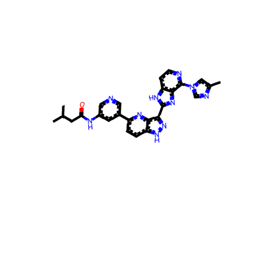 Cc1cn(-c2nccc3[nH]c(-c4n[nH]c5ccc(-c6cncc(NC(=O)CC(C)C)c6)nc45)nc23)cn1